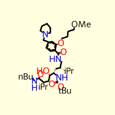 CCCCNC(=O)[C@@H](C[C@H](O)[C@H](C[C@H](CNC(=O)c1ccc(CN2CCCCC2)cc1OCCCCOC)C(C)C)NC(=O)OC(C)(C)C)C(C)C